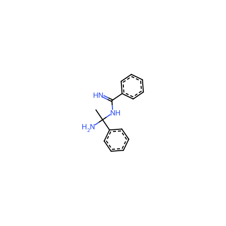 CC(N)(NC(=N)c1ccccc1)c1ccccc1